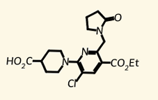 CCOC(=O)c1cc(Cl)c(N2CCC(C(=O)O)CC2)nc1CN1CCCC1=O